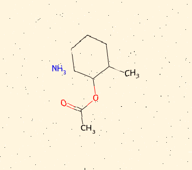 CC(=O)OC1CCCCC1C.N